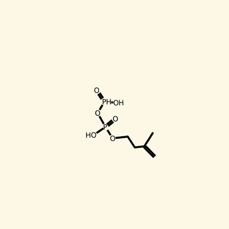 C=C(C)CCOP(=O)(O)O[PH](=O)O